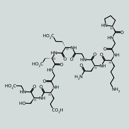 NCCCC[C@H](NC(=O)CNC(=O)[C@@H]1CCCN1)C(=O)N[C@@H](CC(N)=O)C(=O)NCC(=O)N[C@@H](CCC(=O)O)C(=O)N[C@@H](CC(=O)O)C(=O)NCC(=O)N[C@@H](CCC(=O)O)C(=O)N[C@@H](CO)C(=O)NCC(=O)O